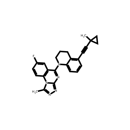 Cc1nnc2nc(N3CCCc4c(C#CC5(C)CC5)cccc43)c3cc(F)ccc3n12